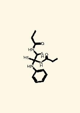 CCC(=O)NC(S)C(S)(NC(=O)CC)Nc1ccccc1